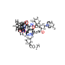 CNC(=O)c1cc(-c2cccc(CN3O[C@@H](CNCc4cccc(C(=O)O)c4)[C@@H]([C@H](C)O)[C@H]3C(=O)N[C@H]3C[C@H]4C[C@@H]([C@@H]3C)C4(C)C)c2C)cc(N(C)C)c1